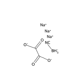 O=C([O-])C(=O)[O-].[BH3-]C#N.[Na+].[Na+].[Na+]